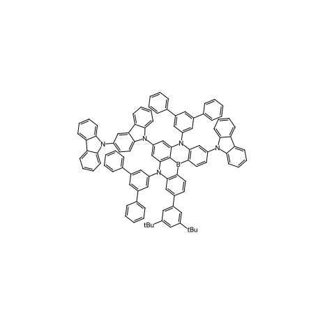 CC(C)(C)c1cc(-c2ccc3c(c2)N(c2cc(-c4ccccc4)cc(-c4ccccc4)c2)c2cc(-n4c5ccccc5c5cc(-n6c7ccccc7c7ccccc76)ccc54)cc4c2B3c2ccc(-n3c5ccccc5c5ccccc53)cc2N4c2cc(-c3ccccc3)cc(-c3ccccc3)c2)cc(C(C)(C)C)c1